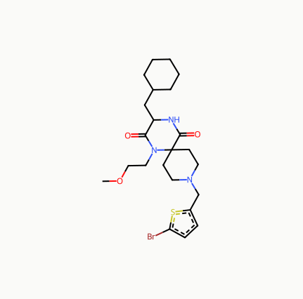 COCCN1C(=O)C(CC2CCCCC2)NC(=O)C12CCN(Cc1ccc(Br)s1)CC2